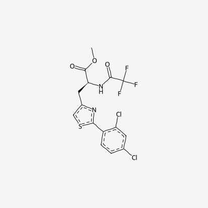 COC(=O)[C@H](Cc1csc(-c2ccc(Cl)cc2Cl)n1)NC(=O)C(F)(F)F